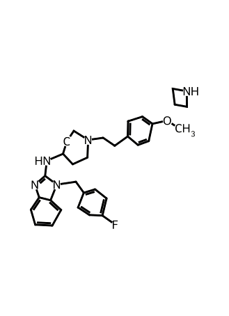 C1CNC1.COc1ccc(CCN2CCC(Nc3nc4ccccc4n3Cc3ccc(F)cc3)CC2)cc1